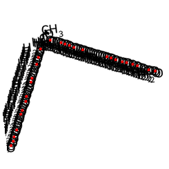 CC(=O)COCC(C)=O.O.O.O.O.O.O.O.O.O.O.O.O.O.O.O.O.O.O.O.O.O.O.O.O.O.O.O.O.O.O.O.O.O.O.O.O.O.O.O.O.O.O.O.O.O.O.O.O.O.O.O.O.O.O.O.O.O.O.O.O.O.O.O.O.O.O.O.O.O.O.O.O.O.O.O.O.O.O.O.O.O.O.O.O.O.O.O.O.O.O.O.O.O.O.O.O.O